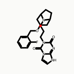 O=c1nc2[nH]ccn2c(=O)n1CCCN1C2CCC1CC(OCc1ccccc1F)C2